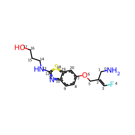 NC/C(=C\F)COc1ccc2nc(NCCCO)sc2c1